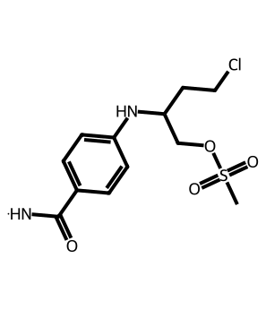 CS(=O)(=O)OCC(CCCl)Nc1ccc(C([NH])=O)cc1